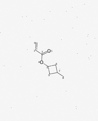 C=CC(=O)OC1CC(C)C1